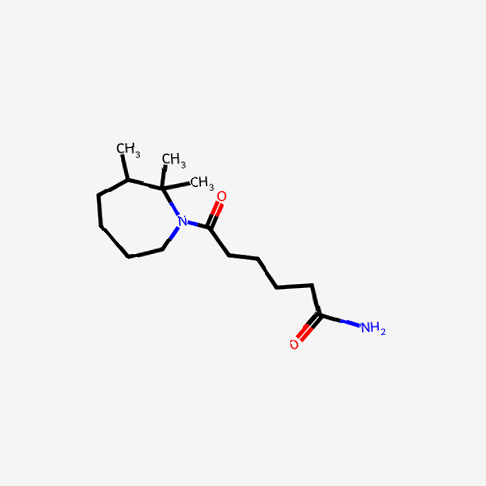 CC1CCCCN(C(=O)CCCCC(N)=O)C1(C)C